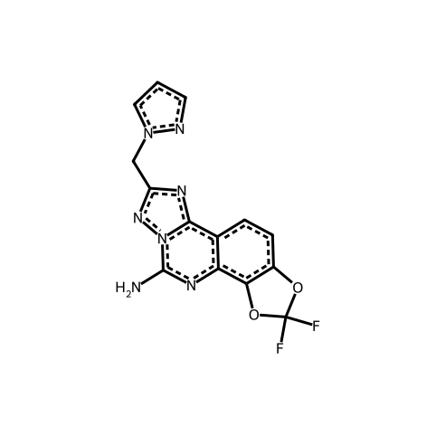 Nc1nc2c3c(ccc2c2nc(Cn4cccn4)nn12)OC(F)(F)O3